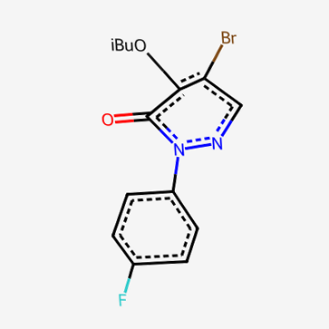 CC(C)COc1c(Br)cnn(-c2ccc(F)cc2)c1=O